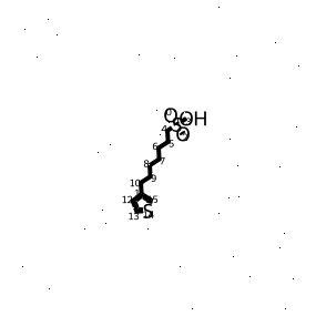 O=S(=O)(O)CCCCCCCc1ccsc1